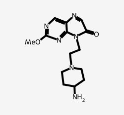 COc1ncc2ncc(=O)n(CCN3CCC(N)CC3)c2n1